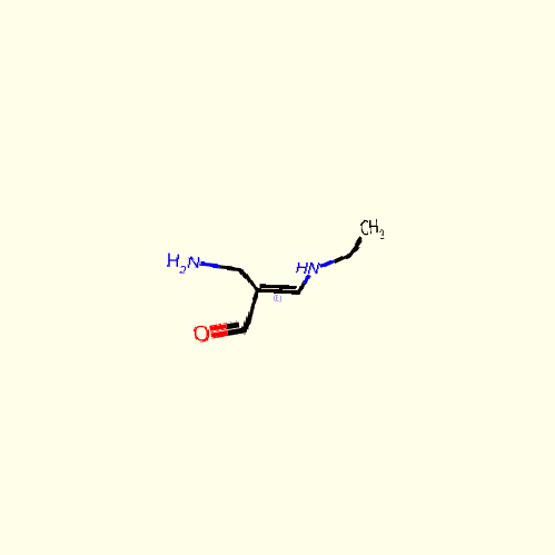 CCN/C=C(/C=O)CN